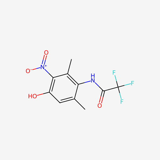 Cc1cc(O)c([N+](=O)[O-])c(C)c1NC(=O)C(F)(F)F